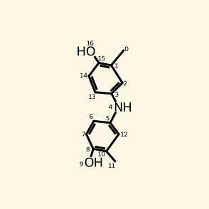 Cc1cc(Nc2ccc(O)c(C)c2)ccc1O